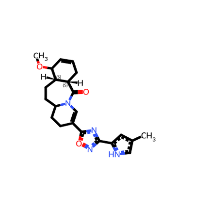 COC1C=CC[C@@H]2C(=O)N3C=C(c4nc(-c5cc(C)c[nH]5)no4)CCC3CC[C@H]12